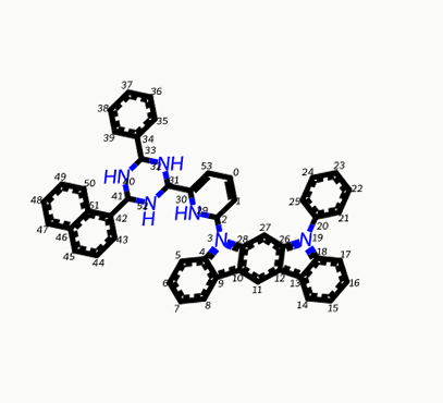 C1=CC(n2c3ccccc3c3cc4c5ccccc5n(-c5ccccc5)c4cc32)NC(C2NC(c3ccccc3)NC(c3cccc4ccccc34)N2)=C1